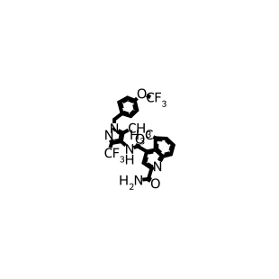 Cc1cccc2nc(C(N)=O)cc(C(=O)Nc3c(C(F)(F)F)nn(Cc4ccc(OC(F)(F)F)cc4)c3C)c12